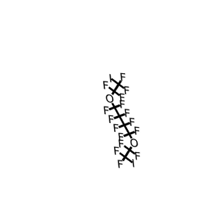 FC(F)(I)C(F)(F)OC(F)(F)C(F)(F)C(F)(F)C(F)(F)OC(F)(F)C(F)(F)I